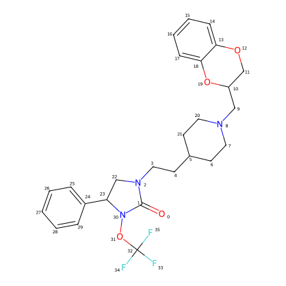 O=C1N(CCC2CCN(CC3COc4ccccc4O3)CC2)CC(c2ccccc2)N1OC(F)(F)F